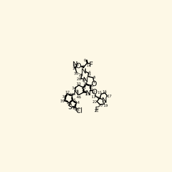 C=C(F)C(=O)N1CC2COc3c(OCC45CCCN4C[C@H](F)C5)nc4c(c3N2C[C@@H]1CC#N)CCN(c1cccc2sc(Cl)cc12)C4